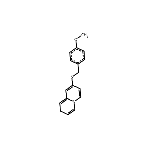 COc1ccc(CSC2=CC3=CCC=CN3C=C2)cc1